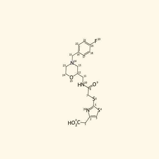 O=C(O)Cc1csc(SCC(=O)NCC2CN(Cc3ccc(F)cc3)CCO2)n1